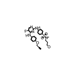 C#CCOc1ccc(Nc2nc(Nc3ccc(S(=O)(=O)N(C)CCC=O)cc3)ncc2F)cc1